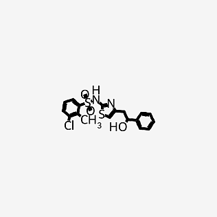 Cc1c(Cl)cccc1S(=O)(=O)Nc1nc(CC(O)c2ccccc2)cs1